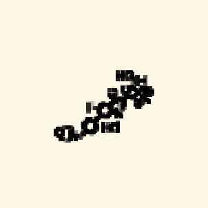 CC(CCn1cnc2cc(-c3ccc(CN4CCOCC4)cc3)c(F)cc2c1=O)(C(=O)NO)S(C)(=O)=O.Cl